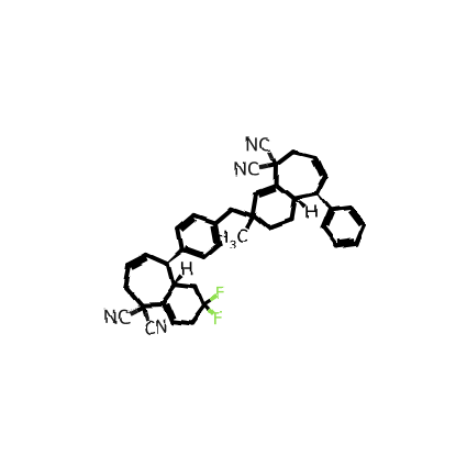 CC1(Cc2ccc([C@@H]3C=CCC(C#N)(C#N)C4=CCC(F)(F)C[C@H]43)cc2)C=C2[C@@H](CC1)[C@H](c1ccccc1)C=CCC2(C#N)C#N